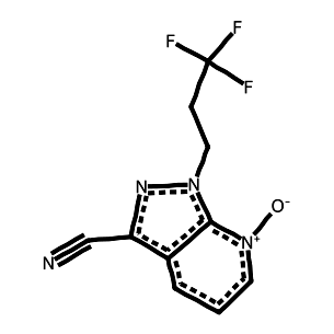 N#Cc1nn(CCC(F)(F)F)c2c1ccc[n+]2[O-]